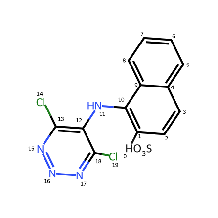 O=S(=O)(O)c1ccc2ccccc2c1Nc1c(Cl)nnnc1Cl